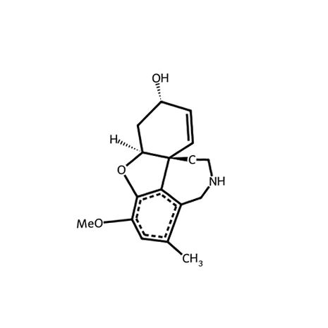 COc1cc(C)c2c3c1O[C@H]1C[C@H](O)C=C[C@]31CCNC2